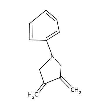 C=C1CN(c2ccccc2)CC1=C